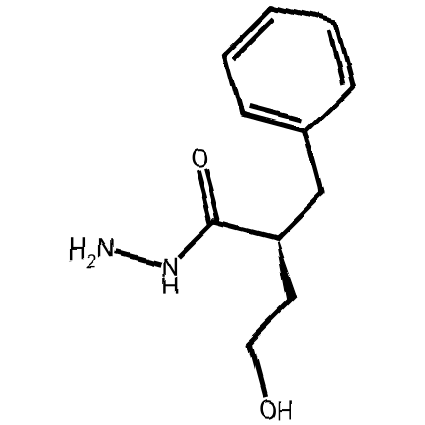 NNC(=O)[C@H](CCO)Cc1ccccc1